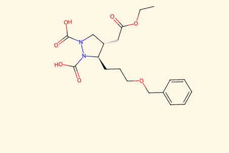 CCOC(=O)C[C@H]1CN(C(=O)O)N(C(=O)O)[C@@H]1CCCOCc1ccccc1